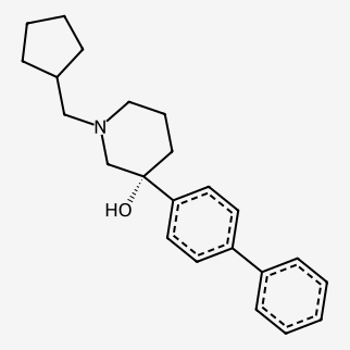 O[C@@]1(c2ccc(-c3ccccc3)cc2)CCCN(CC2CCCC2)C1